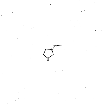 CNB1CCNC1